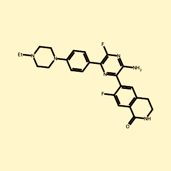 CCN1CCN(c2ccc(-c3nc(-c4cc5c(cc4F)C(=O)NCC5)c(N)nc3F)cc2)CC1